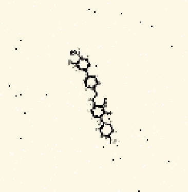 CCCCc1ccc(-c2ccc(CCc3ccc(C4=CCC(CCC)CC4)c(F)c3F)cc2)cc1F